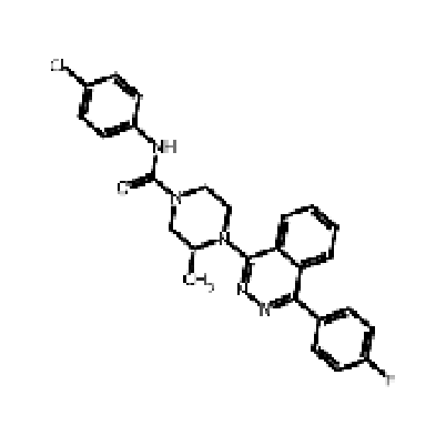 C[C@H]1CN(C(=O)Nc2ccc(Cl)cc2)CCN1c1nnc(-c2ccc(F)cc2)c2ccccc12